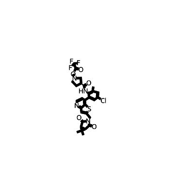 Cc1cc(Cl)cc(-c2ccnc3cc(CN4C(=O)C5C(C4=O)C5(C)C)sc23)c1NC(=O)[C@H]1CCN(OC(=O)C(F)(F)F)C1